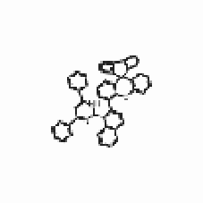 C1=C(c2ccccc2)NC(c2c(-c3cccc4c3Oc3ccccc3C43c4ccccc4-c4ccccc43)ccc3ccccc23)N=C1c1ccccc1